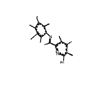 CC(=O)c1nc(/C(C)=N/c2c(C)c(C)c(C)c(C)c2C)c(C)c(C)c1C